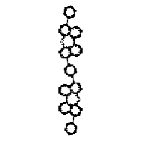 c1ccc(-c2ccc3oc4ccc(-c5ccc(-c6ccc7oc8ccc(-c9ccccc9)c9cccc(c%10cccc6c7%10)c89)cc5)c5cccc(c6cccc2c36)c45)cc1